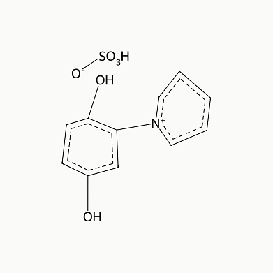 O=S(=O)([O-])O.Oc1ccc(O)c(-[n+]2ccccc2)c1